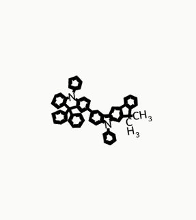 CC1(C)c2ccccc2-c2cc3c4cc(-c5ccc6c(c5)C(c5ccccc5)(c5ccccc5)c5ccccc5N6c5ccccc5)ccc4n(-c4ccccc4)c3cc21